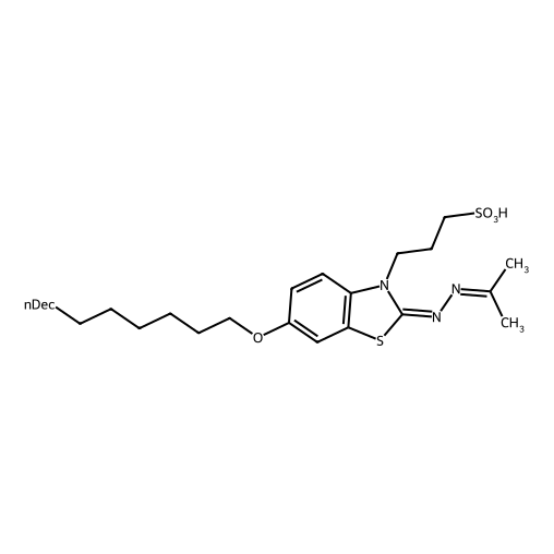 CCCCCCCCCCCCCCCCOc1ccc2c(c1)s/c(=N/N=C(C)C)n2CCCS(=O)(=O)O